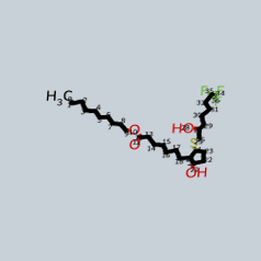 CCCCCCCCCCOC(=O)CCCCCCC1C(O)CCC1SCC(O)CCCCC(F)(F)F